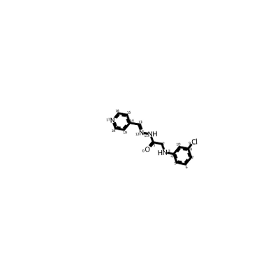 O=C(CNc1cccc(Cl)c1)N/N=C/c1ccncc1